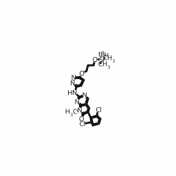 Cn1c(=O)c(-c2c(Cl)cccc2Cl)cc2cnc(Nc3ccc(OCCCO[Si](C)(C)C(C)(C)C)nn3)nc21